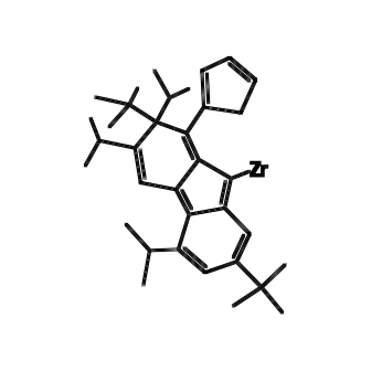 CC(C)C1=CC2=c3c(C(C)C)cc(C(C)(C)C)cc3=[C]([Zr])C2=C(C2=CC=CC2)C1(C(C)C)C(C)(C)C